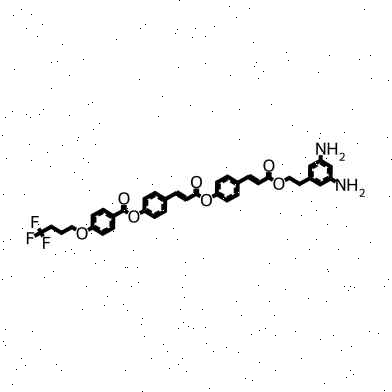 Nc1cc(N)cc(CCOC(=O)/C=C/c2ccc(OC(=O)/C=C/c3ccc(OC(=O)c4ccc(OCCCC(F)(F)F)cc4)cc3)cc2)c1